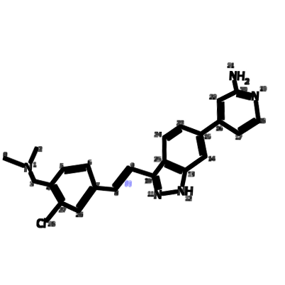 CN(C)Cc1ccc(/C=C/c2n[nH]c3cc(-c4ccnc(N)c4)ccc23)cc1Cl